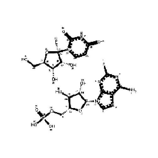 Nc1nc(F)nc2c1ncn2[C@@H]1O[C@H](COP(=O)(O)O)[C@@H](O)[C@@H]1O.O=c1ccn([C@]2(F)O[C@H](CO)[C@@H](O)[C@H]2O)c(=O)[nH]1